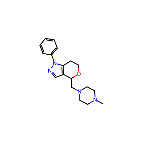 CN1CCN(CC2OCCc3c2cnn3-c2ccccc2)CC1